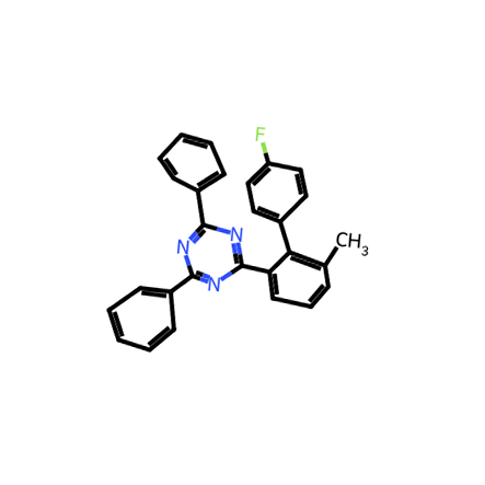 Cc1cccc(-c2nc(-c3ccccc3)nc(-c3ccccc3)n2)c1-c1ccc(F)cc1